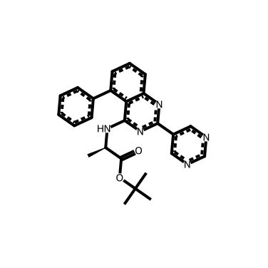 C[C@@H](Nc1nc(-c2cncnc2)nc2cccc(-c3ccccc3)c12)C(=O)OC(C)(C)C